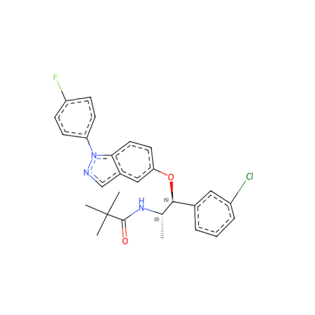 C[C@H](NC(=O)C(C)(C)C)[C@@H](Oc1ccc2c(cnn2-c2ccc(F)cc2)c1)c1cccc(Cl)c1